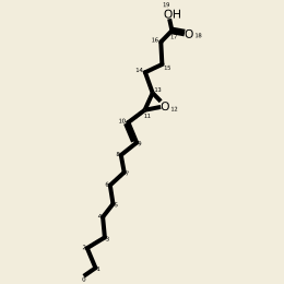 CCCCCCCCC/C=C/C1OC1CCCC(=O)O